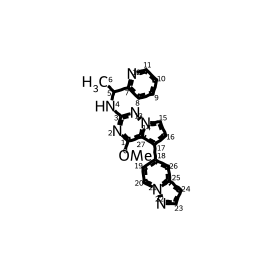 COc1nc(NC(C)c2ccccn2)nn2ccc(-c3ccn4nccc4c3)c12